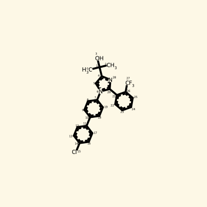 CC(C)(O)c1cn(-c2ccc(-c3ccc(Cl)cc3)cc2)c(-c2ccccc2C(F)(F)F)n1